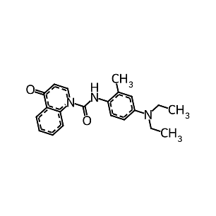 CCN(CC)c1ccc(NC(=O)n2ccc(=O)c3ccccc32)c(C)c1